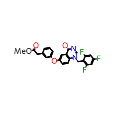 COC(=O)Cc1cccc(Oc2ccc3c(c2)c(=O)ncn3Cc2c(F)cc(F)cc2F)c1